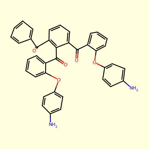 Nc1ccc(Oc2ccccc2C(=O)c2cccc(C(=O)c3ccccc3)c2C(=O)c2ccccc2Oc2ccc(N)cc2)cc1